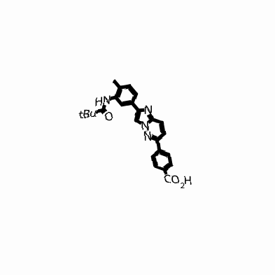 Cc1ccc(-c2cn3nc(-c4ccc(C(=O)O)cc4)ccc3n2)cc1NC(=O)C(C)(C)C